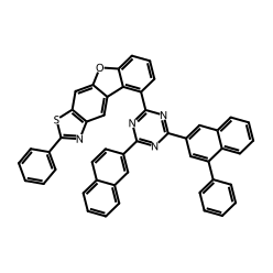 c1ccc(-c2nc3cc4c(cc3s2)oc2cccc(-c3nc(-c5ccc6ccccc6c5)nc(-c5cc(-c6ccccc6)c6ccccc6c5)n3)c24)cc1